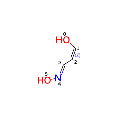 O/C=C\C=NO